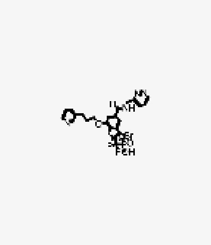 O=C(NCc1cccnn1)c1cc(OCCCc2cccnc2)c2sc(C(F)(F)P(=O)(O)O)c(Br)c2c1